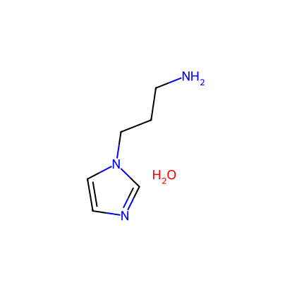 NCCCn1ccnc1.O